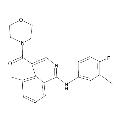 Cc1cc(Nc2ncc(C(=O)N3CCOCC3)c3c(C)cccc23)ccc1F